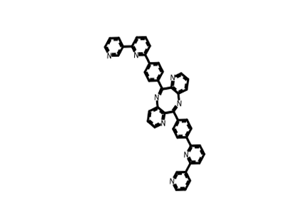 c1cncc(-c2cccc(-c3ccc(/C4=N/c5cccnc5/C(c5ccc(-c6cccc(-c7cccnc7)n6)cc5)=N\c5cccnc54)cc3)n2)c1